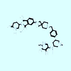 CN1C[C@H](Nc2cnn(C)c(=O)c2Br)C[C@H](c2ccc(CN3CCC4(CC3)CN(c3ccc5c(c3)C(=O)N(C3CCC(=O)NC3=O)C5=O)C4)cc2)C1